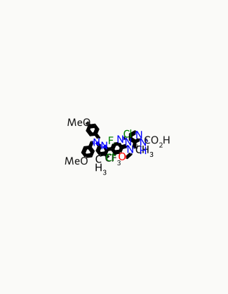 COc1ccc(CN(Cc2ccc(OC)cc2)c2cc(C)c(C(F)(F)F)c(-c3c(Cl)c4c5c(nc(Cl)nc5c3F)N([C@H](C)c3cccnc3NC(=O)O)CCO4)n2)cc1